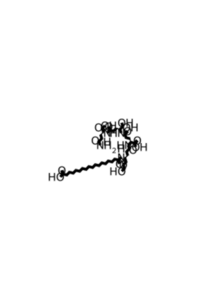 NC(=O)CC[C@H](NC(=O)CC[C@H](NC(=O)CC[C@H](NC(=O)CC[C@@H](COCO)NC(=O)CCCCCCCCCCCCCCCCC(=O)O)C(=O)O)C(O)O)C(=O)O